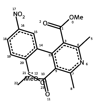 COC(=O)c1c(C)nc(C)c(C(=O)OC)c1-c1cc([N+](=O)[O-])ccc1[S+](C)[O-]